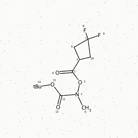 CN(OC(=O)C1CC(F)(F)C1)C(=O)OC(C)(C)C